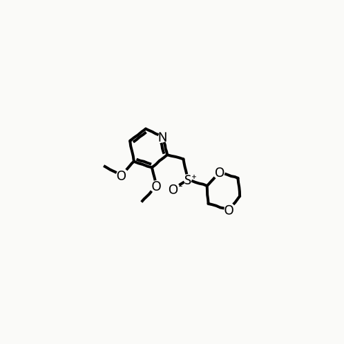 COc1ccnc(C[S+]([O-])C2COCCO2)c1OC